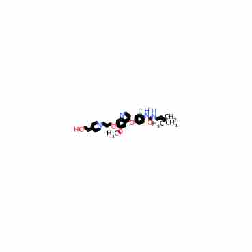 COc1cc2c(Oc3ccc(NC(=O)NCCC(C)(C)C)c(Cl)c3)ccnc2cc1OCCCN1CCC(CCO)CC1